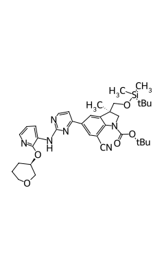 CC(C)(C)OC(=O)N1C[C@](C)(CO[Si](C)(C)C(C)(C)C)c2cc(-c3ccnc(Nc4cccnc4O[C@@H]4CCCOC4)n3)cc(C#N)c21